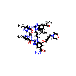 CCn1nc(C)cc1C(=O)Nc1nc2cc(C(=O)OC)cc(OC)c2n1C/C=C/Cn1c(NC(=O)c2cc(C)nn2CC)nc2cc(C(N)=O)cc(OCC#CCN3CCOCC3)c21